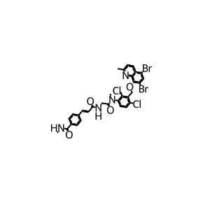 CNC(=O)c1ccc(C=CC(=O)NCC(=O)N(C)c2ccc(Cl)c(COc3c(Br)cc(Br)c4ccc(C)nc34)c2Cl)cc1